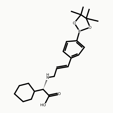 CC1(C)OB(c2ccc(C=CCN[C@H](C(=O)O)C3CCCCC3)cc2)OC1(C)C